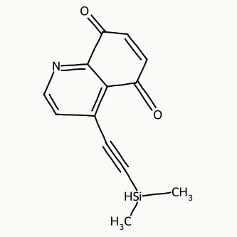 C[SiH](C)C#Cc1ccnc2c1C(=O)C=CC2=O